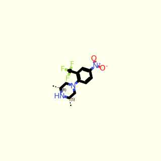 C[C@@H]1CN(c2ccc([N+](=O)[O-])cc2C(F)(F)F)C[C@H](C)N1